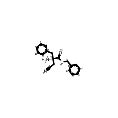 N#CC[C@@](N)(Cc1ccccc1)C(=O)OCc1ccccc1